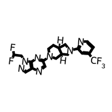 FC(F)Cn1ncc2ncc(N3CC[C@@H]4CN(c5cc(C(F)(F)F)ccn5)C[C@H]4C3)nc21